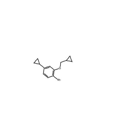 CC(C)c1ccc(C2CC2)cc1OCC1CC1